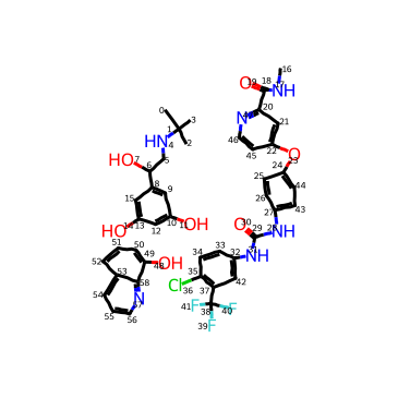 CC(C)(C)NCC(O)c1cc(O)cc(O)c1.CNC(=O)c1cc(Oc2ccc(NC(=O)Nc3ccc(Cl)c(C(F)(F)F)c3)cc2)ccn1.Oc1cccc2cccnc12